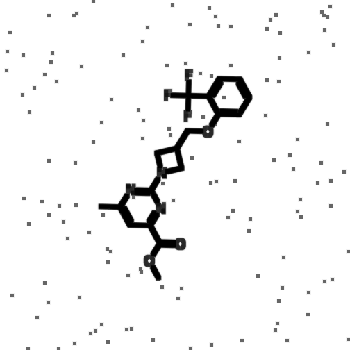 COC(=O)c1cc(C)nc(N2CC(COc3ccccc3C(F)(F)F)C2)n1